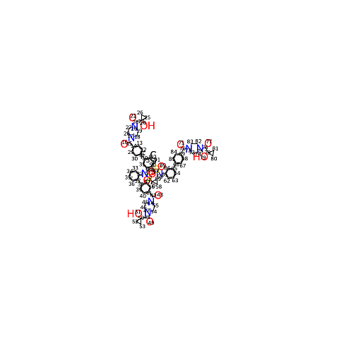 CC1(S(=O)(=O)N(c2cccc(-c3ccc(C(=O)N4CCN(C(=O)C5(O)CC5)CC4)cc3)c2)c2cc[c]cc2-c2ccc(C(=O)N3CCN(C(=O)C4(O)CC4)CC3)cc2)CC1N(c1cccc(-c2ccc(C(=O)N3CCN(C(=O)C4(O)CC4)CC3)cc2)c1)S(=O)(=O)CCC(F)(F)F